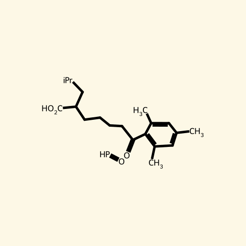 Cc1cc(C)c(C(=O)CCCCC(CC(C)C)C(=O)O)c(C)c1.O=P